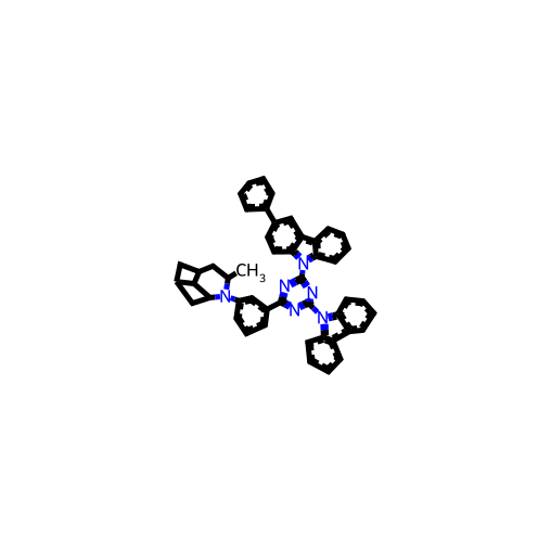 CC1CC2CC3CC(C23)N1c1cccc(-c2nc(-n3c4ccccc4c4ccccc43)nc(-n3c4ccccc4c4cc(-c5ccccc5)ccc43)n2)c1